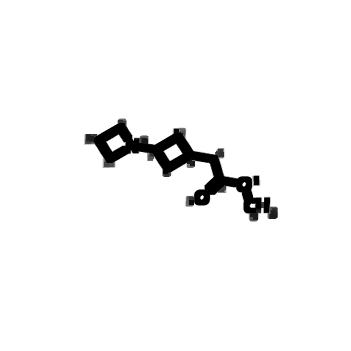 COC(=O)CC1CC(N2CCC2)C1